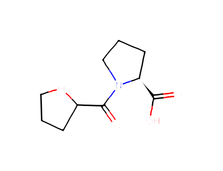 O=C(O)[C@@H]1CCCN1C(=O)C1CCCO1